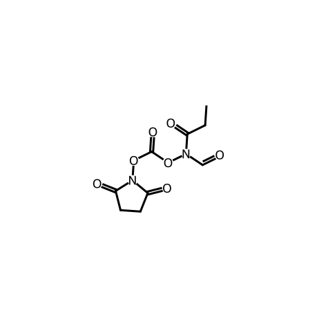 CCC(=O)N(C=O)OC(=O)ON1C(=O)CCC1=O